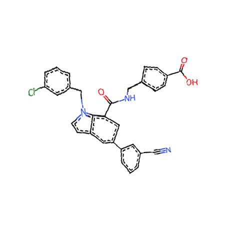 N#Cc1cccc(-c2cc(C(=O)NCc3ccc(C(=O)O)cc3)c3c(ccn3Cc3cccc(Cl)c3)c2)c1